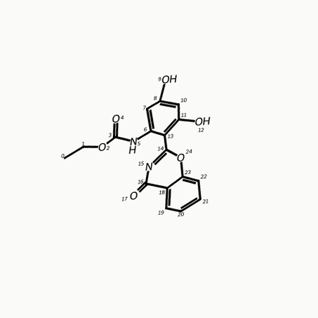 CCOC(=O)Nc1cc(O)cc(O)c1-c1nc(=O)c2ccccc2o1